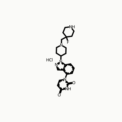 Cl.O=c1ccn(-c2cccc3c2cnn3C2CCN(CC3(F)CCNCC3)CC2)c(=O)[nH]1